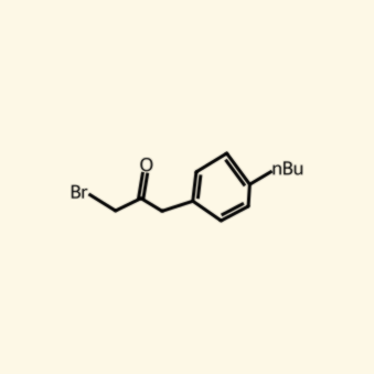 CCCCc1ccc(CC(=O)CBr)cc1